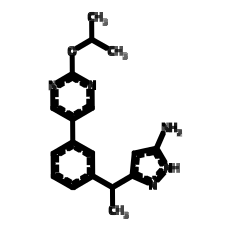 CC(C)Oc1ncc(-c2cccc(C(C)c3cc(N)[nH]n3)c2)cn1